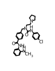 CNc1ccccc1NC(=O)c1ccc(CN(CCN2CCCC2)C(=O)Nc2ccc(Cl)cc2)cc1